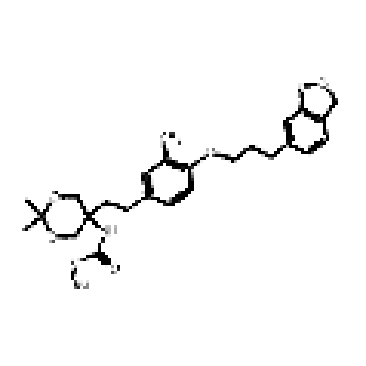 CC(C)(C)OC(=O)NC1(CCc2ccc(OCCCc3ccc4c(c3)OOC4)c(C(F)(F)F)c2)COC(C)(C)OC1